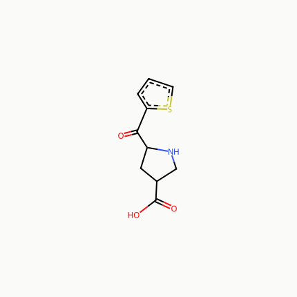 O=C(O)C1CNC(C(=O)c2cccs2)C1